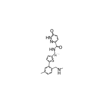 CNCc1ccc(C)cc1-c1ccc([C@@H](C)NC(=O)c2ccc(=O)[nH]n2)s1